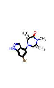 C[C@@H]1CN(c2cc(Br)cc3[nH]ncc23)C[C@H](C)N(C)C1=O